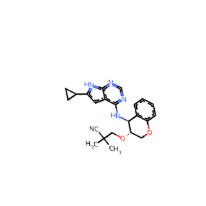 CC(C)(C#N)CO[C@H]1COc2ccccc2[C@@H]1Nc1ncnc2[nH]c(C3CC3)cc12